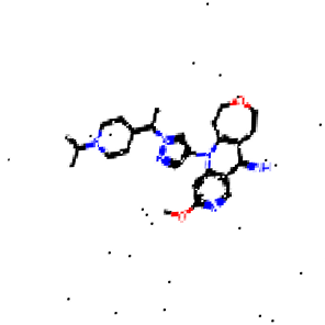 COc1ccc(C(=N)C2=C(Nc3cnn(C(C)C4CCN(C(C)C)CC4)c3)CCOCC2)cn1